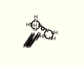 Br.Br.Br.Br.Br.Br.Br.Br.O.O.O.O.O.O.c1cc(CN2CCCNCCCNCCCNCCC2)cc(CN2CCCNCCCNCCCNCCC2)c1